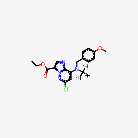 [2H]C([2H])([2H])N(Cc1ccc(OC)cc1)c1cc(Cl)nn2c(C(=O)OCC)cnc12